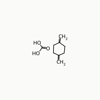 C=C1CCC(=C)CC1.O=C(O)O